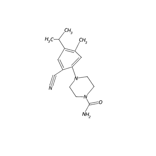 Cc1cc(N2CCN(C(N)=O)CC2)c(C#N)cc1C(C)C